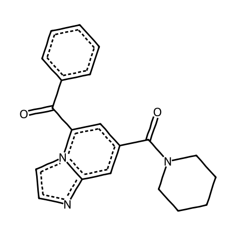 O=C(c1ccccc1)c1cc(C(=O)N2CCCCC2)cc2nccn12